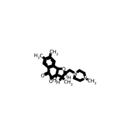 [2H]C1(CN2CCN(C)CC2)OC2c3cc(C)c(C)cc3C(=O)C(=O)C2([2H])C1([2H])C